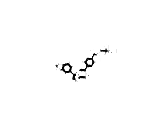 CC(C)(N)CNC(=O)c1ccc(-c2cn3c(-c4ccc5c(c4)OCO5)cnc3cn2)cc1